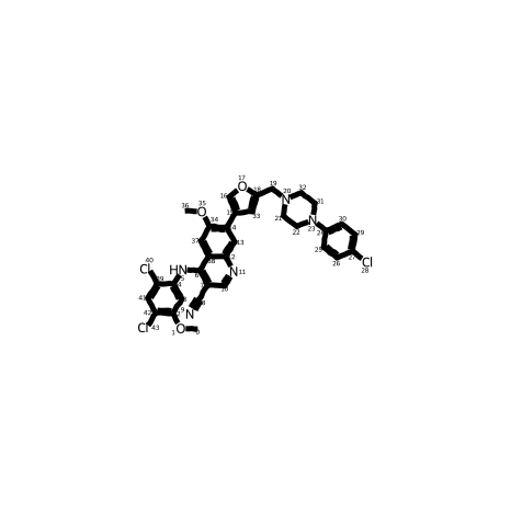 COc1cc(Nc2c(C#N)cnc3cc(-c4coc(CN5CCN(c6ccc(Cl)cc6)CC5)c4)c(OC)cc23)c(Cl)cc1Cl